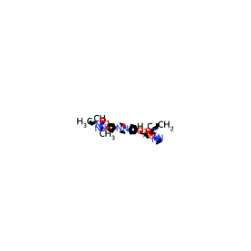 C=C/C=C(\C)[C@]1(Cn2nccn2)OC[C@@H](COc2ccc(N3CCN(c4ccc(-n5c(C)nn(C(C)CC)c5=O)cc4)CC3)cc2)O1